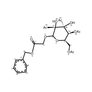 CC(=O)OC[C@H]1OC(OCC(=O)OCc2ccccc2)[C@@](O)(C(C)=O)[C@](O)(C(C)=O)[C@H]1OC(C)=O